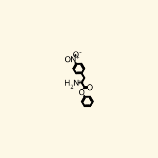 N[C@@H](Cc1ccc([N+](=O)[O-])cc1)C(=O)Oc1ccccc1